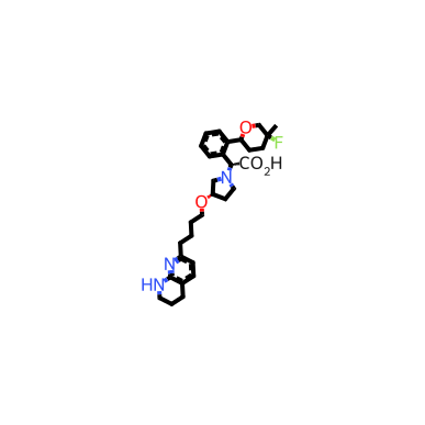 CC1(F)CCC(c2ccccc2[C@@H](C(=O)O)N2CC[C@@H](OCCCCc3ccc4c(n3)NCCC4)C2)OC1